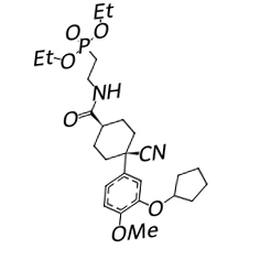 CCOP(=O)(CCNC(=O)[C@H]1CC[C@](C#N)(c2ccc(OC)c(OC3CCCC3)c2)CC1)OCC